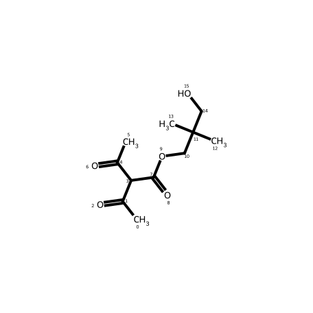 CC(=O)C(C(C)=O)C(=O)OCC(C)(C)CO